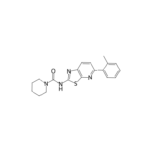 Cc1ccccc1-c1ccc2nc(NC(=O)N3CCCCC3)sc2n1